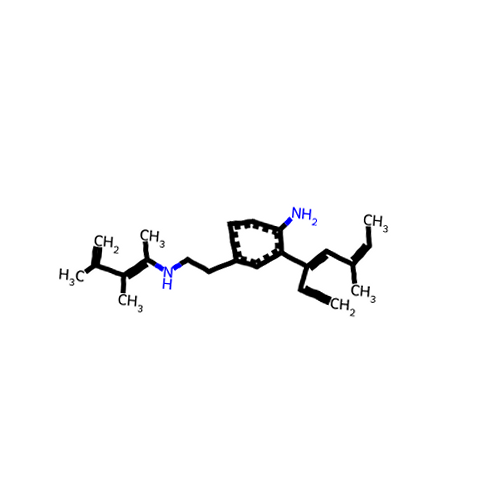 C=C/C(=C\C(C)=C/C)c1cc(CCN/C(C)=C(\C)C(=C)C)ccc1N